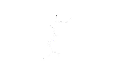 CCC(C)C/C=C/C(C)C